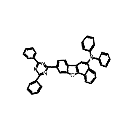 c1ccc(-c2nc(-c3ccccc3)nc(-c3ccc4c(c3)oc3c5ccccc5c(N(c5ccccc5)c5ccccc5)cc43)n2)cc1